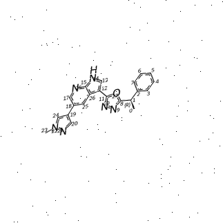 C[C@H](c1ccccc1)c1nnc(-c2c[nH]c3ncc(-c4cnn(C)c4)cc23)o1